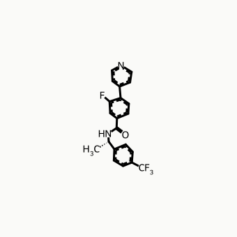 C[C@H](NC(=O)c1ccc(-c2ccncc2)c(F)c1)c1ccc(C(F)(F)F)cc1